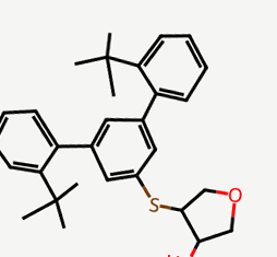 CC(C)(C)c1ccccc1-c1cc(SC2COCC2O)cc(-c2ccccc2C(C)(C)C)c1